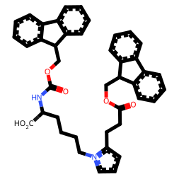 O=C(CCc1cccn1CCCCC(NC(=O)OCC1c2ccccc2-c2ccccc21)C(=O)O)OCC1c2ccccc2-c2ccccc21